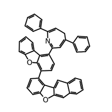 C1=C(c2ccccc2)CC=C(c2ccccc2)N=C1c1ccc(-c2cccc3oc4cc5ccccc5cc4c23)c2oc3ccccc3c12